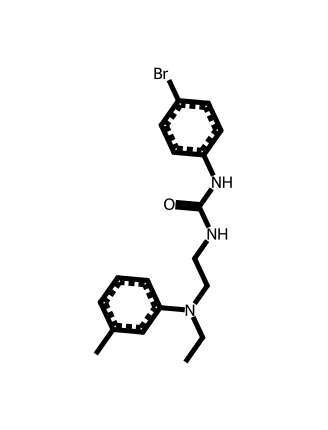 CCN(CCNC(=O)Nc1ccc(Br)cc1)c1cccc(C)c1